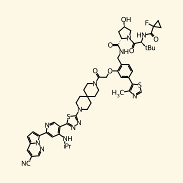 Cc1ncsc1-c1ccc(CNC(=O)[C@@H]2C[C@@H](O)CN2C(=O)[C@@H](NC(=O)C2(F)CC2)C(C)(C)C)c(OCC(=O)N2CCC3(CC2)CCN(c2nnc(-c4cnc(-c5ccc6cc(C#N)cnn56)cc4NC(C)C)s2)CC3)c1